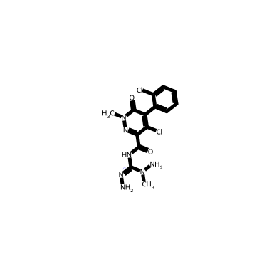 CN(N)/C(=N\N)NC(=O)c1nn(C)c(=O)c(-c2ccccc2Cl)c1Cl